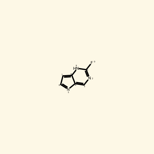 Fc1ncc2nccc-2[nH]1